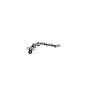 CCCOCCOCCOCCOCCN1CCN(c2ncc(CN3C(=O)c4ccccc4C3=O)cn2)CC1